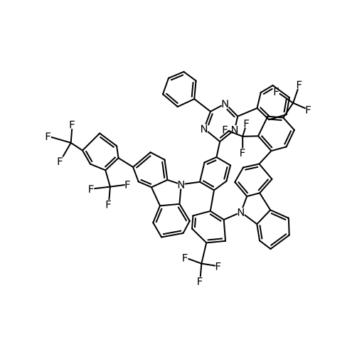 FC(F)(F)c1ccc(-c2ccc(-c3nc(-c4ccccc4)nc(-c4ccccc4)n3)cc2-n2c3ccccc3c3cc(-c4ccc(C(F)(F)F)cc4C(F)(F)F)ccc32)c(-n2c3ccccc3c3cc(-c4ccc(C(F)(F)F)cc4C(F)(F)F)ccc32)c1